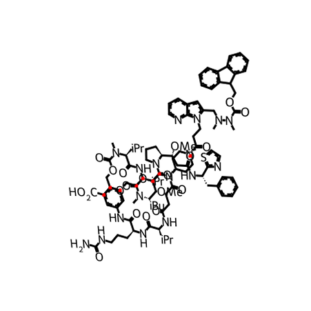 CC[C@H](C)[C@@H]([C@@H](CC(=O)N1CCC[C@H]1[C@H](OC)[C@@H](C)C(=O)N[C@@H](Cc1ccccc1)c1nccs1)OC)N(C)C(=O)[C@@H](NC(=O)[C@H](C(C)C)N(C)C(=O)OCc1ccc(NC(=O)[C@H](CCCNC(N)=O)NC(=O)[C@@H](NC(=O)CCC(=O)N(CCOCCOCCC(=O)O)C2CCN(C(=O)CCn3c(CN(C)N(C)C(=O)OCC4c5ccccc5-c5ccccc54)cc4cccnc43)CC2)C(C)C)cc1)C(C)C